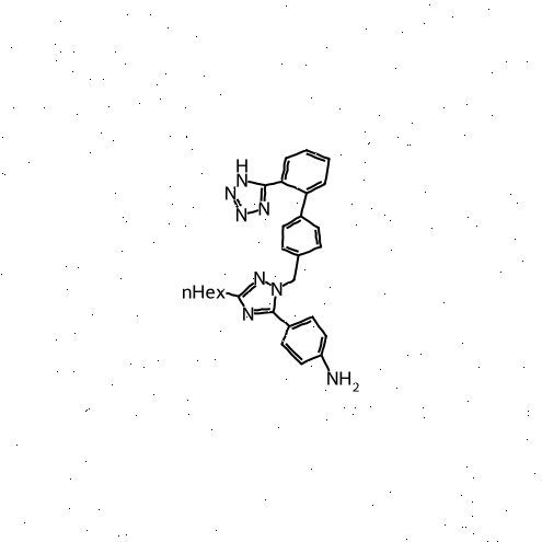 CCCCCCc1nc(-c2ccc(N)cc2)n(Cc2ccc(-c3ccccc3-c3nnn[nH]3)cc2)n1